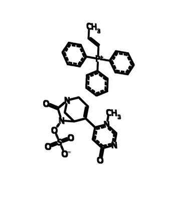 CC=C[P+](c1ccccc1)(c1ccccc1)c1ccccc1.Cn1cnc(=O)cc1C1=CCN2CC1N(OS(=O)(=O)[O-])C2=O